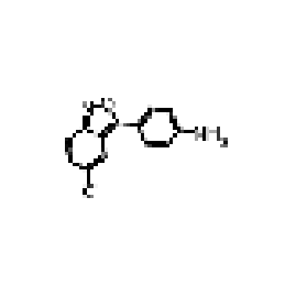 Nc1ccc(-c2onc3ccc(Cl)cc23)cc1